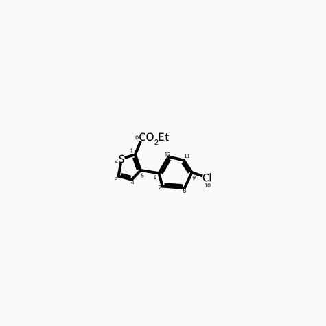 CCOC(=O)c1sccc1-c1ccc(Cl)cc1